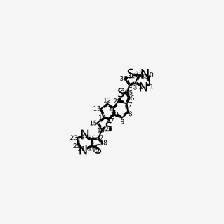 c1cnc2c(-c3cc4ccc5c(ccc6cc(-c7csc8nccnc78)sc65)c4s3)csc2n1